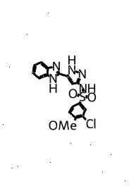 COc1ccc(S(=O)(=O)Nc2cc(-c3nc4ccccc4[nH]3)[nH]n2)cc1Cl